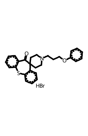 Br.O=C1c2ccccc2Sc2ccccc2C12CCN(CCCOc1ccccc1)CC2